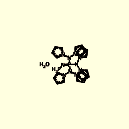 O.PN=P(N(n1cccc1)n1cccc1)(N(n1cccc1)n1cccc1)N(n1cccc1)n1cccc1